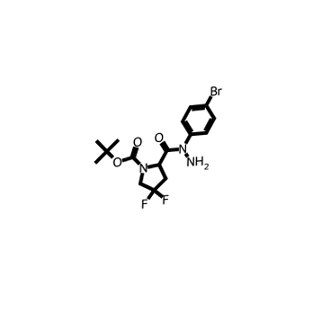 CC(C)(C)OC(=O)N1CC(F)(F)CC1C(=O)N(N)c1ccc(Br)cc1